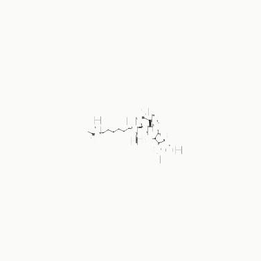 CC(=S)NCCCCCCNC1=Nc2c(ncn2[C@@H]2O[C@H](CO)C(O)C2O)C(S)N1